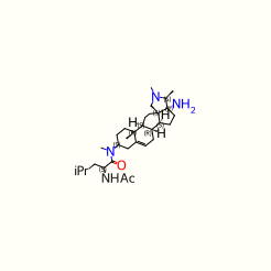 CC(=O)N[C@@H](CC(C)C)C(=O)N(C)[C@H]1CC[C@@]2(C)C(=CC[C@H]3[C@@H]4CC[C@]5(N)[C@H](C)N(C)C[C@]45CC[C@@H]32)C1